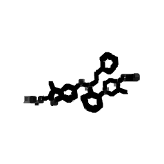 Cc1c(C(=O)O)oc2ccc(SN(CCc3ccccc3)c3ccccc3N3CCN(C=O)C(C)C3)cc12